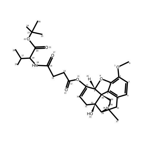 COc1ccc2c3c1O[C@H]1C(OC(=O)CCC(=O)NC(C(=O)OC(C)(C)C)C(C)C)=CC[C@@]4(O)C(C2)N(C)CC[C@]314